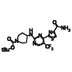 CC(C)(C)OC(=O)N1CCC(Nc2ncc(C(F)(F)F)c(-c3nc(C(N)=O)cs3)n2)CC1